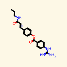 CCCNC(=O)/C=C/c1ccc(OC(=O)c2ccc(NC(=N)N)cc2)cc1